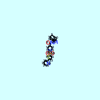 O=C(NC12CC3CC(CC(C3)C1)C2)C1CCN(S(=O)(=O)c2ccc(-c3ccccn3)s2)CC1